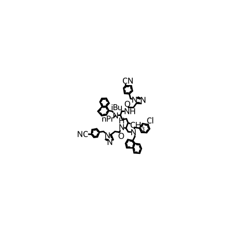 CCCN(Cc1cccc2ccccc12)C(CCC(C)C(CN(Cc1cccc(Cl)c1)Cc1cccc2ccccc12)NC(=O)Cc1cncn1Cc1ccc(C#N)cc1)C(NC(=O)Cc1cncn1Cc1ccc(C#N)cc1)C(C)CC